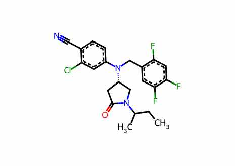 CCC(C)N1C[C@@H](N(Cc2cc(F)c(F)cc2F)c2ccc(C#N)c(Cl)c2)CC1=O